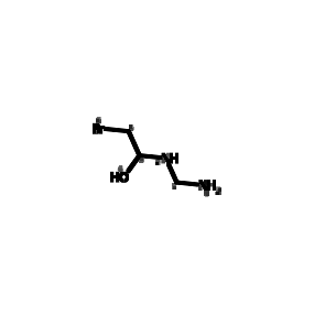 NCNC(O)CBr